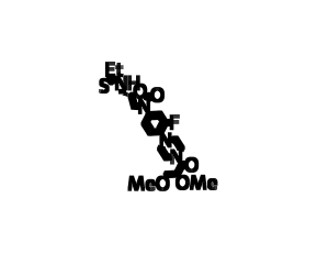 CCC(=S)NC[C@H]1CN(c2ccc(N3CCN(C(=O)[C@H](COC)OC)CC3)c(F)c2)C(=O)O1